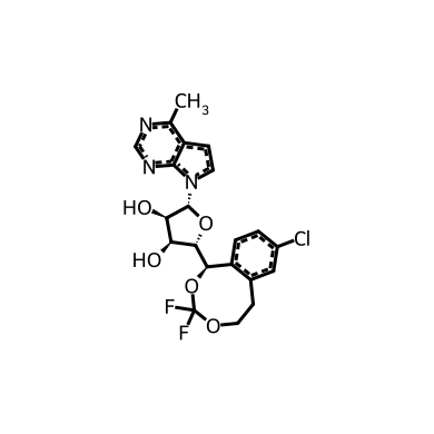 Cc1ncnc2c1ccn2[C@@H]1O[C@H]([C@@H]2OC(F)(F)OCCc3cc(Cl)ccc32)[C@@H](O)[C@H]1O